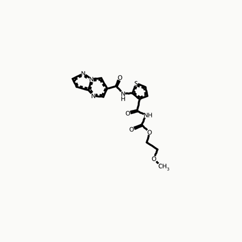 COCCOC(=O)NC(=O)c1ccsc1NC(=O)c1cnc2ccnn2c1